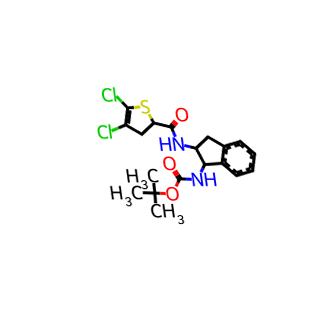 CC(C)(C)OC(=O)NC1c2ccccc2CC1NC(=O)C1CC(Cl)=C(Cl)S1